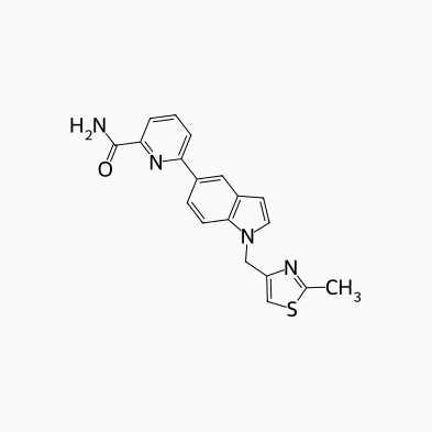 Cc1nc(Cn2ccc3cc(-c4cccc(C(N)=O)n4)ccc32)cs1